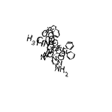 CC(C)OC(=O)[C@H](C)NP(=O)(OC[C@@]1(N=[N+]=[N-])O[C@@H](n2ccc(N)nc2=O)[C@H](O[Si](c2ccccc2)(c2ccccc2)C(C)(C)C)[C@@H]1F)Oc1cccc2ccccc12